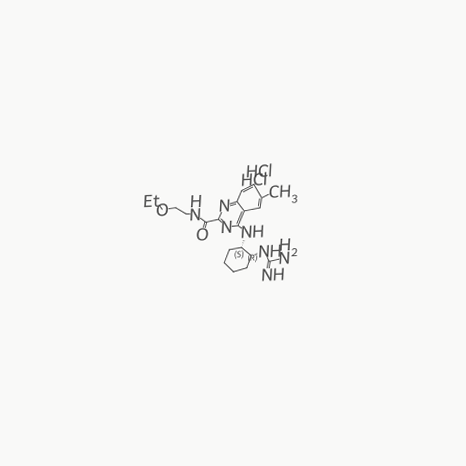 CCOCCNC(=O)c1nc(N[C@H]2CCCC[C@H]2NC(=N)N)c2cc(C)ccc2n1.Cl.Cl